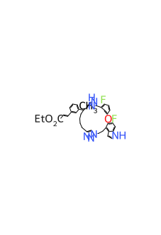 CCOC(=O)/C=C/c1cccc(C2(C)CCCCc3cn(nn3)CCc3c(c(F)cc4[nH]ccc34)Oc3ccc(F)c(c3)-c3ncc2[nH]3)c1